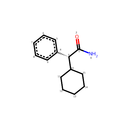 NC(=O)[C@@H](c1ccccc1)C1CCCCC1